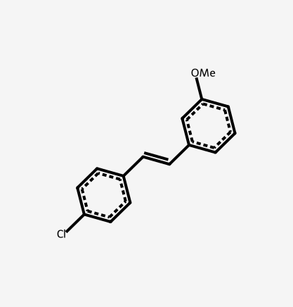 COc1cccc(C=Cc2ccc(Cl)cc2)c1